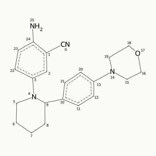 N#Cc1cc(N2CCCCC2c2ccc(N3CCOCC3)cc2)ccc1N